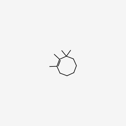 CC1=C(C)C(C)(C)CCCCC1